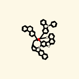 CC1C/C=C2\c3cc4c(cc3-n3c5cc(ccc5c5cc6ccccc6cc53)CC2C(c2ccc3c(c2)CCc2ccccc2-3)/N=C\1c1ccc2c(c1)c1ccccc1n2-c1ccccc1)oc1ccc2ccccc2c14